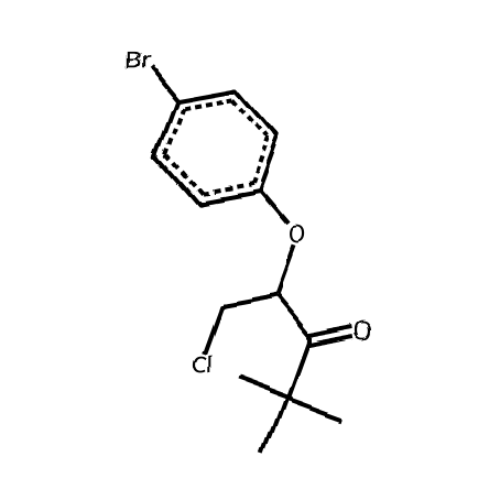 CC(C)(C)C(=O)C(CCl)Oc1ccc(Br)cc1